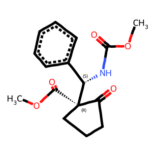 COC(=O)N[C@@H](c1ccccc1)[C@]1(C(=O)OC)CCCC1=O